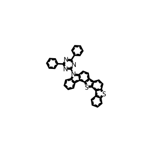 c1ccc(-c2nc(-c3ccccc3)nc(-n3c4ccccc4c4c5sc6c(ccc7sc8ccccc8c76)c5ccc43)n2)cc1